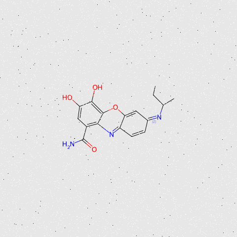 CCC(C)/N=c1/ccc2nc3c(C(N)=O)cc(O)c(O)c3oc-2c1